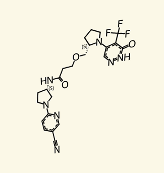 N#Cc1ccc(N2CC[C@H](NC(=O)CCOC[C@@H]3CCCN3c3cn[nH]c(=O)c3C(F)(F)F)C2)nc1